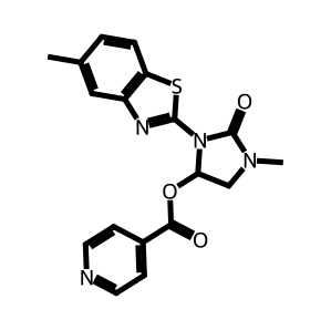 Cc1ccc2sc(N3C(=O)N(C)CC3OC(=O)c3ccncc3)nc2c1